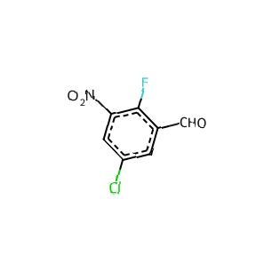 O=Cc1cc(Cl)cc([N+](=O)[O-])c1F